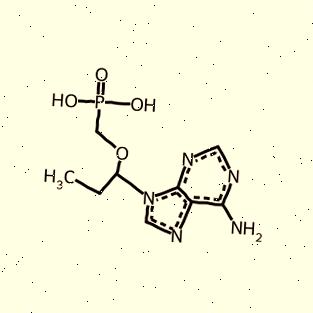 CCC(OCP(=O)(O)O)n1cnc2c(N)ncnc21